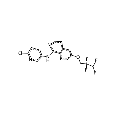 FC(F)C(F)(F)COc1ccc2c(Nc3ccc(Cl)nc3)nccc2c1